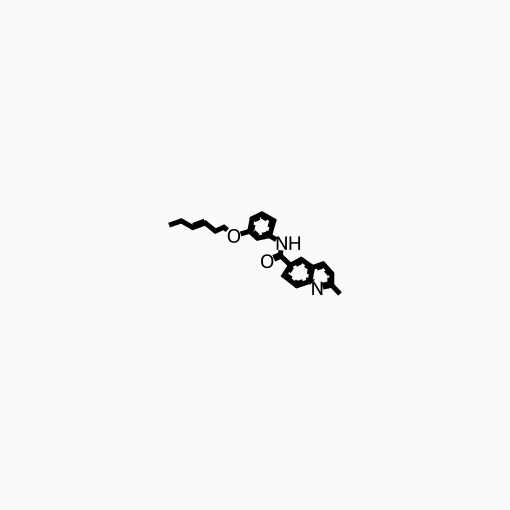 CCC=CCCOc1cccc(NC(=O)c2ccc3nc(C)ccc3c2)c1